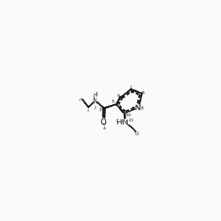 CCNC(=O)c1cccnc1NC